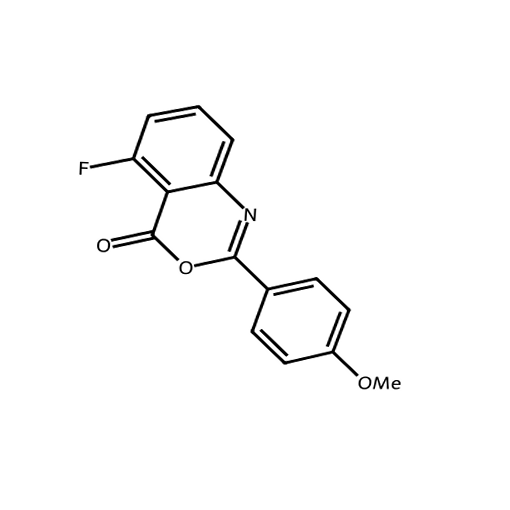 COc1ccc(-c2nc3cccc(F)c3c(=O)o2)cc1